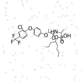 CCCCC(CCC)OP(=O)(O)C(C)NC(=O)C(C)Oc1ccc(Oc2ccc(C(F)(F)F)cc2Cl)cc1